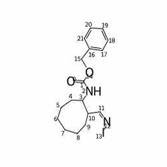 O=C(NC1CCCCCCC1/C=N\I)OCc1ccccc1